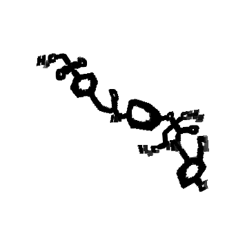 CCCC(C)(Oc1ccc(NC(=O)Cc2ccc(S(=O)(=O)CC)cc2)cc1)C(=O)Nc1ccc(Cl)cc1Cl